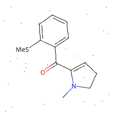 CSc1ccccc1C(=O)C1=CCCN1C